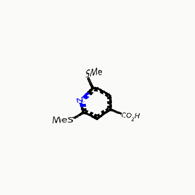 CSc1cc(C(=O)O)cc(SC)n1